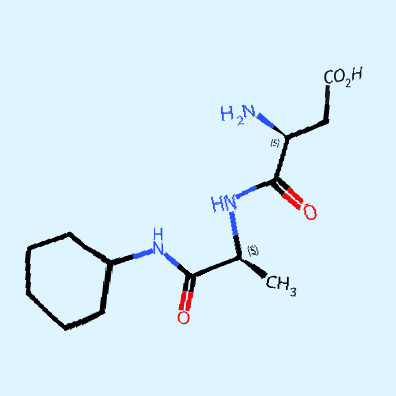 C[C@H](NC(=O)[C@@H](N)CC(=O)O)C(=O)NC1CCCCC1